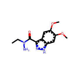 CCN(N)C(=O)c1n[nH]c2cc(OC)c(OC)cc12